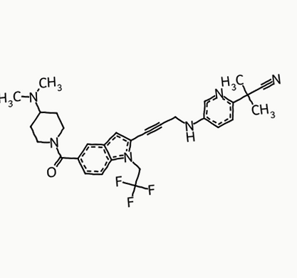 CN(C)C1CCN(C(=O)c2ccc3c(c2)cc(C#CCNc2ccc(C(C)(C)C#N)nc2)n3CC(F)(F)F)CC1